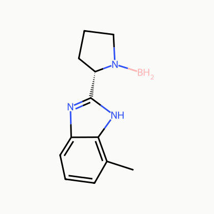 BN1CCC[C@H]1c1nc2cccc(C)c2[nH]1